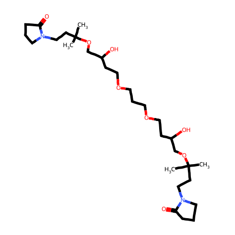 CC(C)(CCN1CCCC1=O)OCC(O)CCOCCCOCCC(O)COC(C)(C)CCN1CCCC1=O